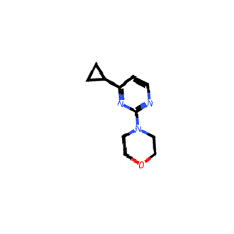 [c]1cnc(N2CCOCC2)nc1C1CC1